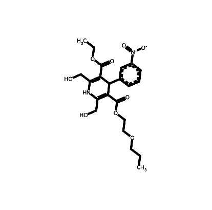 CCCOCCOC(=O)C1=C(CO)NC(CO)=C(C(=O)OCC)C1c1cccc([N+](=O)[O-])c1